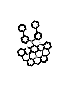 c1ccc(-c2cccc(B(c3cccc(-c4ccccc4)c3)c3c4oc5cccc6c5n5c4c4c7c3oc3cccc8c3n7-c3c(ccc7c3B4c3c(ccc(c3-5)C6)C7)C8)c2)cc1